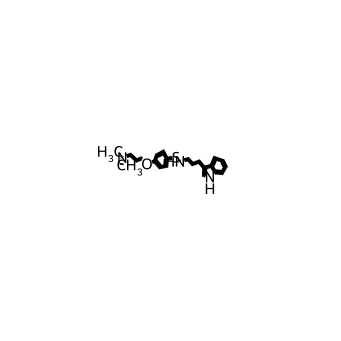 CN(C)CCCOc1ccc(SNCCCc2c[nH]c3ccccc23)cc1